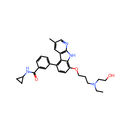 CCN(CCO)CCCOc1ccc(-c2cccc(C(=O)NC3CC3)c2)c2c1[nH]c1ncc(C)cc12